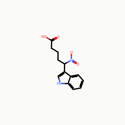 O=C(O)CCCC(c1c[nH]c2ccccc12)[N+](=O)[O-]